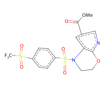 COC(=O)c1cnc2c(c1)N(S(=O)(=O)c1ccc(S(=O)(=O)C(F)(F)F)cc1)CCO2